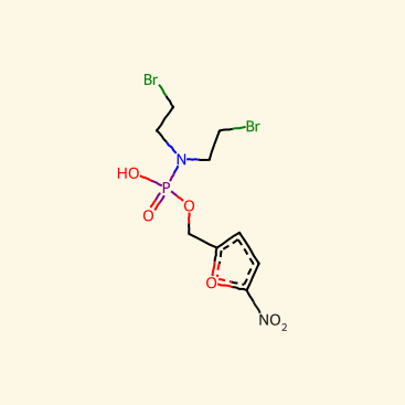 O=[N+]([O-])c1ccc(COP(=O)(O)N(CCBr)CCBr)o1